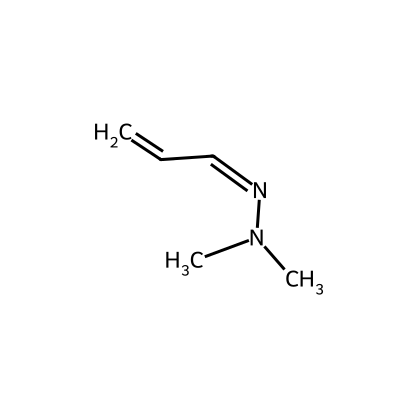 C=C/C=N\N(C)C